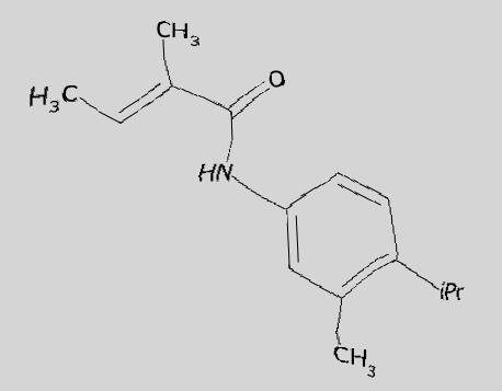 CC=C(C)C(=O)Nc1ccc(C(C)C)c(C)c1